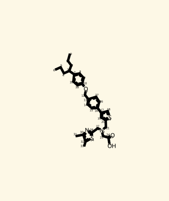 CCCC(CCC)c1ccc(OCc2ccc(-c3csc(CN(CC(=O)O)Cc4nc(C)c(C)s4)c3)cc2)cc1